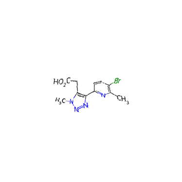 Cc1nc(-c2nnn(C)c2CC(=O)O)ccc1Br